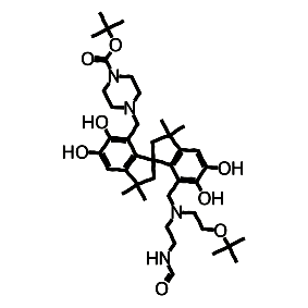 CC(C)(C)OCCN(CCNC=O)Cc1c(O)c(O)cc2c1C1(CC2(C)C)CC(C)(C)c2cc(O)c(O)c(CN3CCN(C(=O)OC(C)(C)C)CC3)c21